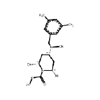 CC[C@@H]1C[C@H](N(C#N)Cc2cc(C(F)(F)F)cc(C(F)(F)F)c2)C[C@H](CC)N1C(=O)OC(C)C